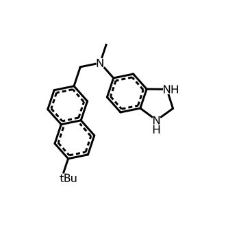 CN(Cc1ccc2cc(C(C)(C)C)ccc2c1)c1ccc2c(c1)NCN2